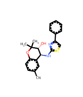 CC1(C)Oc2ccc(C#N)cc2[C@H](Nc2nc(-c3ccccc3)cs2)[C@H]1O